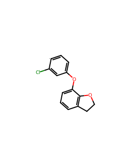 Clc1[c]ccc(Oc2cccc3c2OCC3)c1